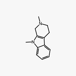 CN1CCc2c(n(C)c3ccccc23)C1